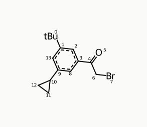 CC(C)(C)c1cc(C(=O)CBr)cc(C2CC2)c1